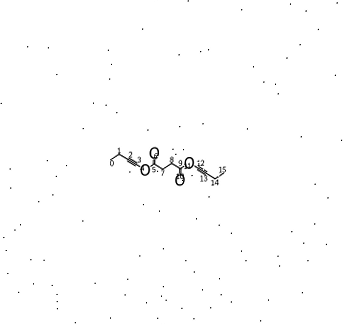 CCC#COC(=O)CCC(=O)OC#CCC